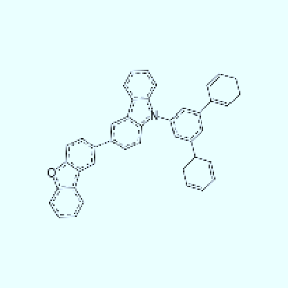 C1=CCC(c2cc(C3=CCCC=C3)cc(-n3c4ccccc4c4cc(-c5ccc6oc7ccccc7c6c5)ccc43)c2)C=C1